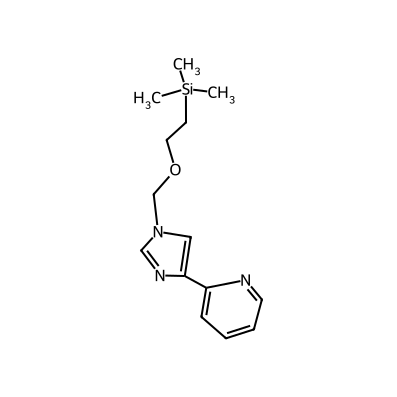 C[Si](C)(C)CCOCn1cnc(-c2ccccn2)c1